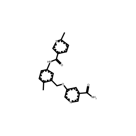 Cc1ccc(C(=O)Nc2ccc(C)c(COc3cncc(C(N)=O)c3)c2)cn1